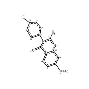 CC(=O)Nc1ccc2c(=O)n(-c3ccc(Cl)cc3)c(C(C)C)nc2c1